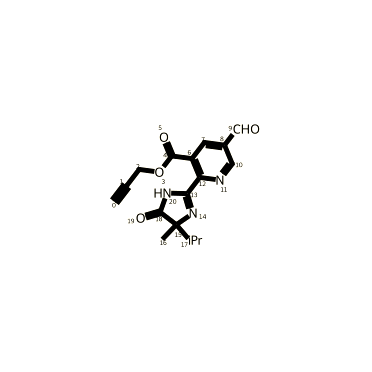 C#CCOC(=O)c1cc(C=O)cnc1C1=NC(C)(C(C)C)C(=O)N1